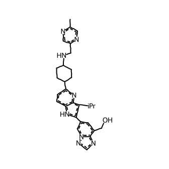 Cc1cnc(CNC2CCC(c3ccc4[nH]c(-c5cc(CO)c6ncnn6c5)c(C(C)C)c4n3)CC2)cn1